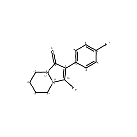 O=c1c(-c2ccc(F)cc2)c(F)n2n1CCCC2